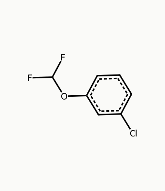 FC(F)Oc1cccc(Cl)c1